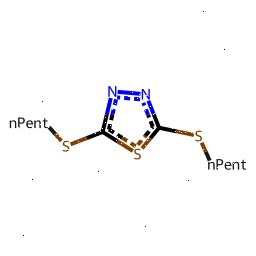 CCCCCSc1nnc(SCCCCC)s1